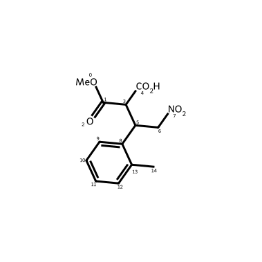 COC(=O)C(C(=O)O)C(C[N+](=O)[O-])c1ccccc1C